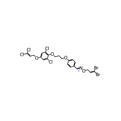 ClC(Cl)=CCOc1cc(Cl)c(OCCCOc2ccc(/C=N/OCC=C(Br)Br)cc2)c(Cl)c1